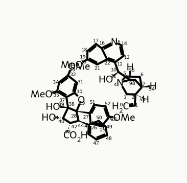 C=C[C@H]1CN2CC[C@H]1C[C@H]2[C@@H](O)c1ccnc2ccc(OC)cc12.COc1ccc([C@]23Oc4cc(OC)cc(OC)c4[C@@]2(O)[C@@H](O)[C@@H](C(=O)O)[C@@H]3c2ccccc2)cc1